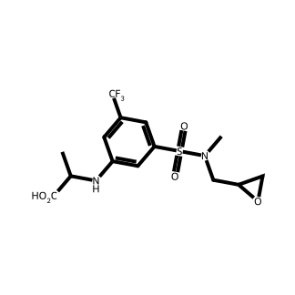 CC(Nc1cc(C(F)(F)F)cc(S(=O)(=O)N(C)CC2CO2)c1)C(=O)O